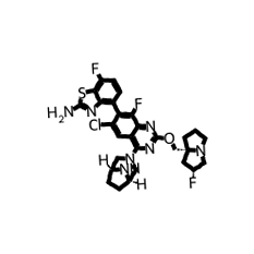 Nc1nc2c(-c3c(Cl)cc4c(N5C[C@H]6CC[C@@H](C5)N6)nc(OC[C@]56CCCN5C[C@H](F)C6)nc4c3F)ccc(F)c2s1